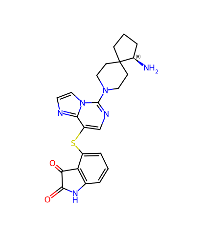 N[C@@H]1CCCC12CCN(c1ncc(Sc3cccc4c3C(=O)C(=O)N4)c3nccn13)CC2